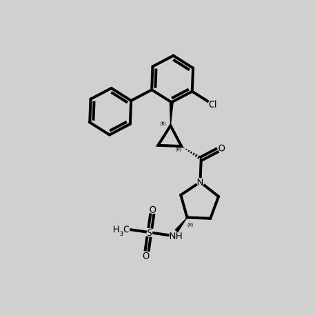 CS(=O)(=O)N[C@@H]1CCN(C(=O)[C@@H]2C[C@H]2c2c(Cl)cccc2-c2ccccc2)C1